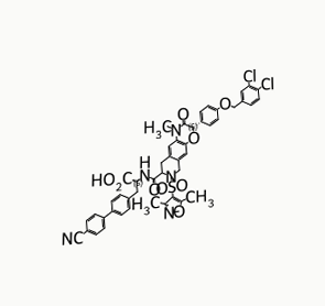 Cc1noc(C)c1S(=O)(=O)N1Cc2cc3c(cc2CC1C(=O)N[C@@H](Cc1ccc(-c2ccc(C#N)cc2)cc1)C(=O)O)N(C)C(=O)[C@H](c1ccc(OCc2ccc(Cl)c(Cl)c2)cc1)O3